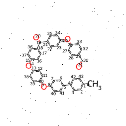 Cc1ccc(-c2ccc(Oc3ccc(Oc4ccc(C(=O)c5ccc(Oc6ccc(C=O)cc6)cc5)cc4)cc3)cc2)cc1